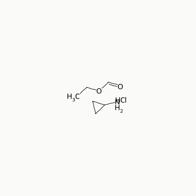 CCOC=O.Cl.NC1CC1